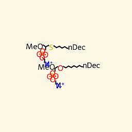 CCCCCCCCCCCCCCCCCCOCC(COP(=O)([O-])OCC[N+](C)(C)C)OC.CCCCCCCCCCCCCCCCSCC(COC)COP(=O)([O-])OCC[N+](C)(C)C